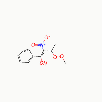 COOC(C)/C(=C(\O)c1ccccc1)[N+](=O)[O-]